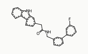 O=C(Cc1ccc2c(c1)[nH]c1ccccc12)NCc1cccc(-c2cccc(F)c2)c1